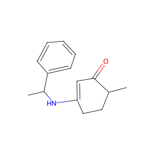 CC1CCC(NC(C)c2ccccc2)=CC1=O